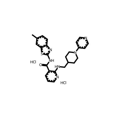 Cc1ccc2nc(NC(=O)c3cccnc3NCC3CCN(c4ccncc4)CC3)sc2c1.Cl.Cl